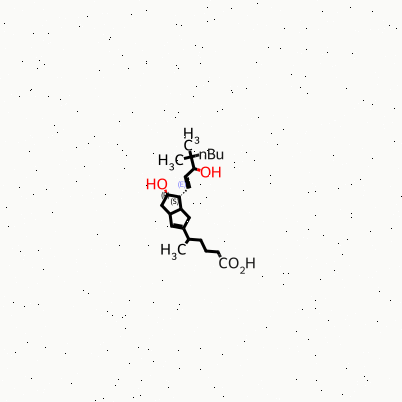 CCCCC(C)(C)C(O)/C=C/[C@@H]1C2CC(C(C)CCCC(=O)O)=CC2C[C@H]1O